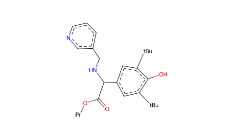 CC(C)OC(=O)C(NCc1cccnc1)c1cc(C(C)(C)C)c(O)c(C(C)(C)C)c1